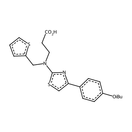 CC(C)COc1ccc(-c2csc(N(CCC(=O)O)Cc3cccs3)n2)cc1